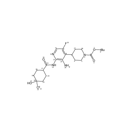 CC(C)(C)OC(=O)N1CCC(c2c(F)cnc(NC(=O)C3CCC(O)(C(F)(F)F)CC3)c2N)CC1